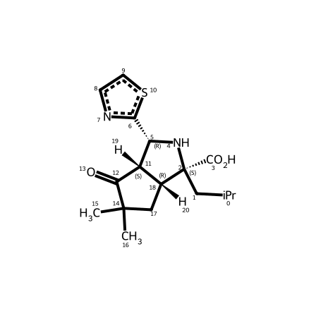 CC(C)C[C@]1(C(=O)O)N[C@@H](c2nccs2)[C@H]2C(=O)C(C)(C)C[C@H]21